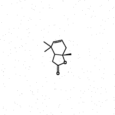 CC1(C)C=CC[C@]2(C)OC(=O)CC12